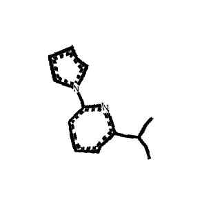 CC(C)c1cccc(-n2cccc2)n1